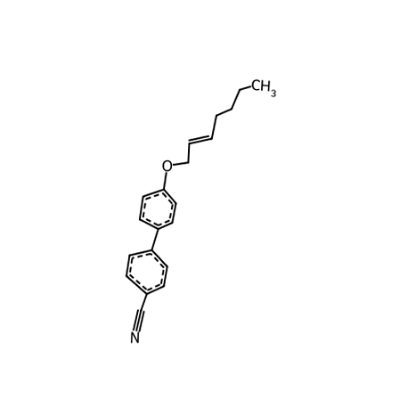 CCCC/C=C/COc1ccc(-c2ccc(C#N)cc2)cc1